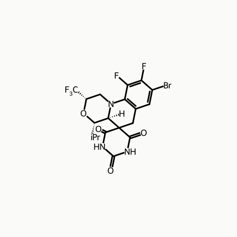 CC(C)[C@@H]1O[C@H](C(F)(F)F)CN2c3c(cc(Br)c(F)c3F)CC3(C(=O)NC(=O)NC3=O)[C@@H]12